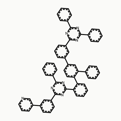 c1ccc(-c2nc(-c3ccccc3)nc(-c3cccc(-c4ccc(-c5ccccc5-c5nc(-c6ccccc6)nc(-c6cccc(-c7cccnc7)c6)n5)c(-c5ccccc5)c4)c3)n2)cc1